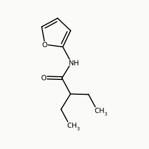 CCC(CC)C(=O)Nc1ccco1